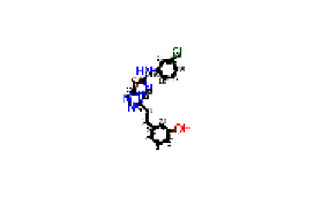 Oc1cccc(CCc2nnc3sc(Nc4cccc(Cl)c4)nn23)c1